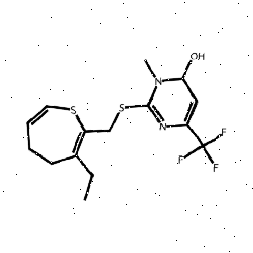 CCC1=C(CSC2=NC(C(F)(F)F)=CC(O)N2C)SC=CCC1